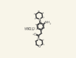 Nc1cc(CC(=O)N2CCOCC2)ccc1N1CCCCC1.[Cl-].[Cl-].[H+].[H+]